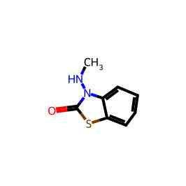 CNn1c(=O)sc2ccccc21